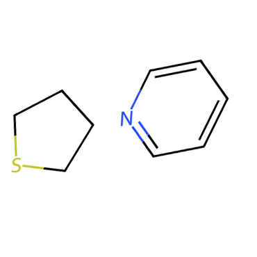 C1CCSC1.c1ccncc1